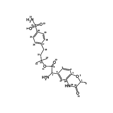 CC1Oc2ccc(C(N)C(=O)OC(C)(C)CCc3ccc(S(N)(=O)=O)cc3)cc2NC1=O